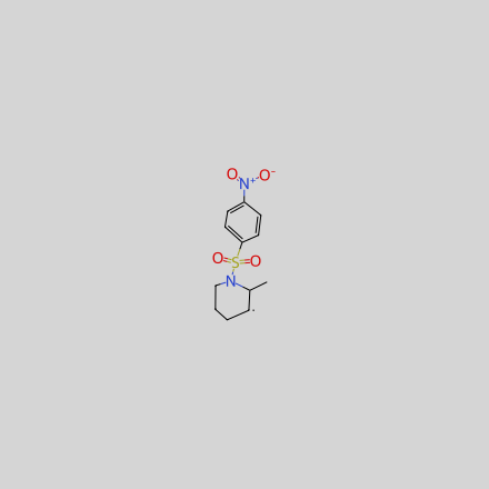 CC1[CH]CCCN1S(=O)(=O)c1ccc([N+](=O)[O-])cc1